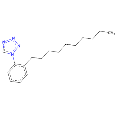 CCCCCCCCCCc1ccccc1-n1cnnn1